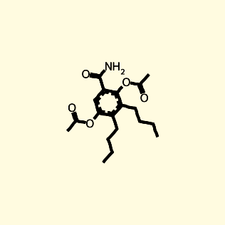 CCCCc1c(OC(C)=O)cc(C(N)=O)c(OC(C)=O)c1CCCC